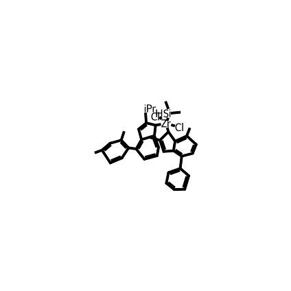 CC1=Cc2c(-c3ccccc3)ccc(C)c2[CH]1[Zr]([Cl])([Cl])([CH]1C(C(C)C)=Cc2c(-c3ccc(C)cc3C)cccc21)[SiH](C)C